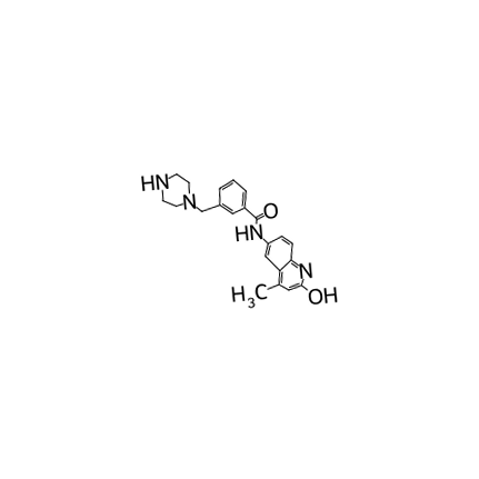 Cc1cc(O)nc2ccc(NC(=O)c3cccc(CN4CCNCC4)c3)cc12